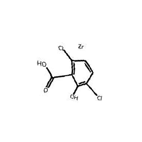 O=C(O)c1c(Cl)ccc(Cl)c1O.[Zr]